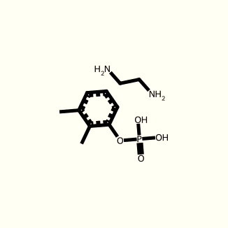 Cc1cccc(OP(=O)(O)O)c1C.NCCN